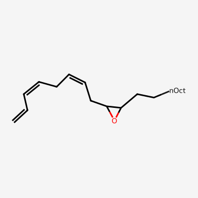 C=C/C=C\C/C=C\CC1OC1CCCCCCCCCC